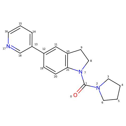 O=C(N1CCCC1)N1CCc2cc(-c3cccnc3)ccc21